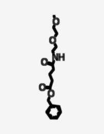 COCCOCCNC(=O)CCCC(=O)OCc1ccccc1